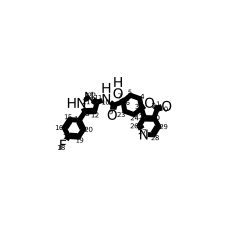 O=C1OC2(CCC(O)(C(=O)Nc3cc(-c4ccc(F)cc4)[nH]n3)CC2)c2cnccc21